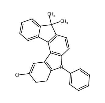 CC1(C)c2ccccc2-c2c1ccc1c2c2c(n1-c1ccccc1)CCC(Cl)=C2